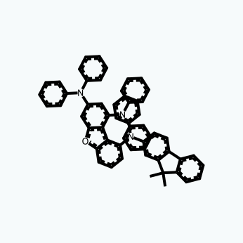 CC1(C)c2ccccc2-c2ccc(N(c3ccccc3)c3cccc4oc5cc(N(c6ccccc6)c6ccccc6)cc(N(c6ccccc6)c6ccccc6)c5c34)cc21